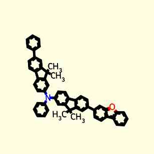 CC1(C)c2cc(-c3ccccc3)ccc2-c2ccc(N(c3ccccc3)c3ccc4c(c3)C(C)(C)c3cc(-c5ccc6c(c5)oc5ccccc56)ccc3-4)cc21